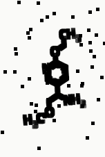 CCOc1ccc(C(N)COC)cn1